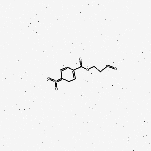 O=CCCOC(=O)C1=CCC(=S(=O)=O)C=C1